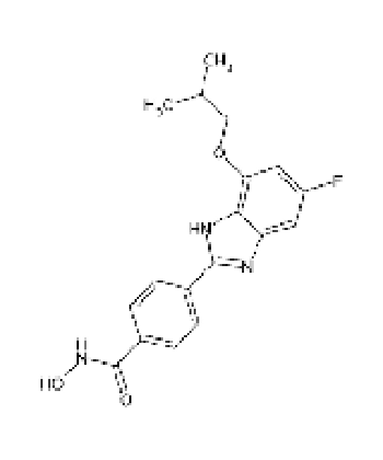 CC(C)COc1cc(F)cc2nc(-c3ccc(C(=O)NO)cc3)[nH]c12